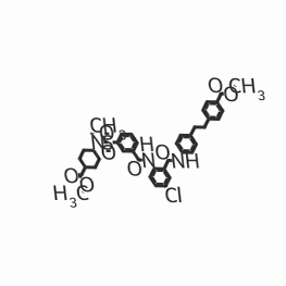 CCN(C1CCC(C(=O)OC)CC1)S(=O)(=O)c1cccc(C(=O)Nc2ccc(Cl)cc2C(=O)Nc2ccc(CCc3ccc(C(=O)OC)cc3)cc2)c1